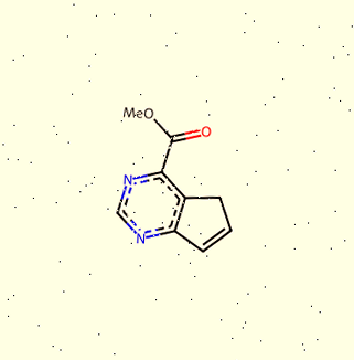 COC(=O)c1ncnc2c1CC=C2